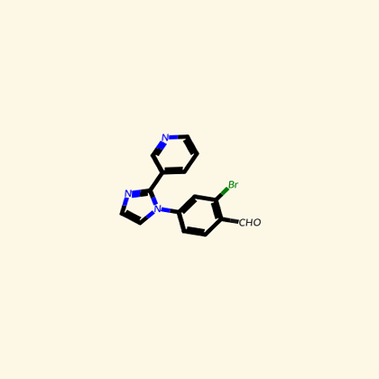 O=Cc1ccc(-n2ccnc2-c2cccnc2)cc1Br